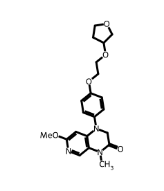 COc1cc2c(cn1)N(C)C(=O)CN2c1ccc(OCCOC2CCOC2)cc1